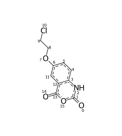 O=c1[nH]c2ccc(OCCCl)cc2c(=O)o1